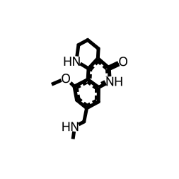 CNCc1cc(OC)c2c3c(c(=O)[nH]c2c1)CCCN3